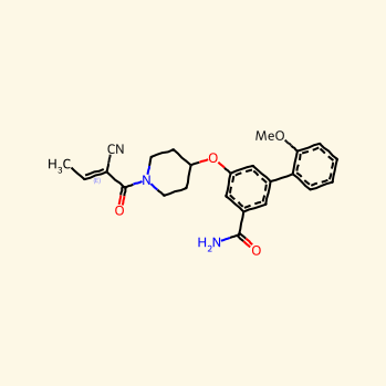 C/C=C(\C#N)C(=O)N1CCC(Oc2cc(C(N)=O)cc(-c3ccccc3OC)c2)CC1